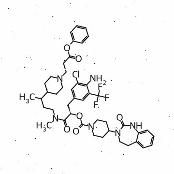 CC(CCN(C)C(=O)[C@@H](Cc1cc(Cl)c(N)c(C(F)(F)F)c1)OC(=O)N1CCC(N2CCc3ccccc3NC2=O)CC1)C1CCN(CCC(=O)Oc2ccccc2)CC1